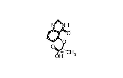 C[C@@H](Oc1cccc2nc[nH]c(=O)c12)C(=O)O